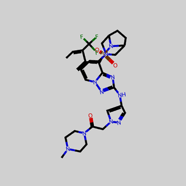 C=C(CS(=O)(=O)N1C2CCC1CN(c1cccn3nc(Nc4cnn(CC(=O)N5CCN(C)CC5)c4)nc13)C2)/C(=C\C)C(F)(F)F